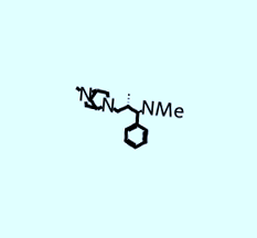 [CH2-][NH2+][C@@H](c1ccccc1)[C@@H](C)CN1CC2CC1CN2C